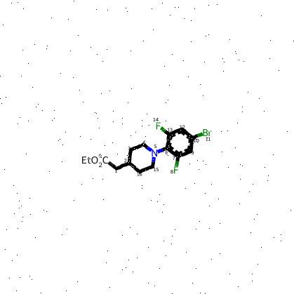 CCOC(=O)CC1CCN(c2c(F)cc(Br)cc2F)CC1